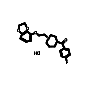 Cl.O=C(c1ccc(F)cc1)C1CCCN(CCOc2cccc3c2OCCO3)CC1